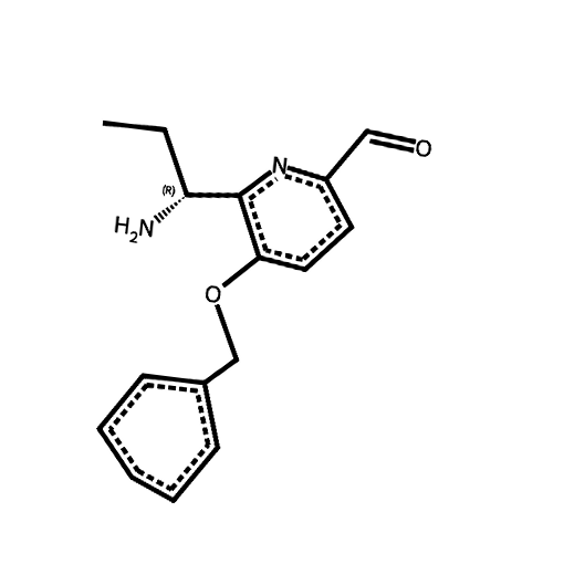 CC[C@@H](N)c1nc(C=O)ccc1OCc1ccccc1